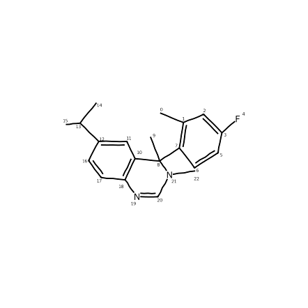 Cc1cc(F)ccc1C1(C)c2cc(C(C)C)ccc2N=CN1C